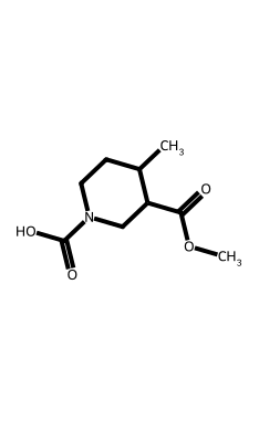 COC(=O)C1CN(C(=O)O)CCC1C